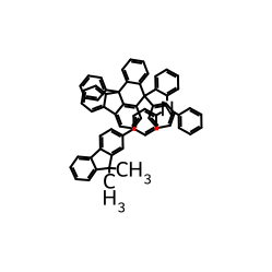 CC1(C)c2ccccc2-c2ccc(-c3ccc(N(c4ccccc4)c4ccccc4C4(c5ccccc5)c5ccccc5C5(c6ccccc6)c6ccccc6-c6cccc4c65)cc3)cc21